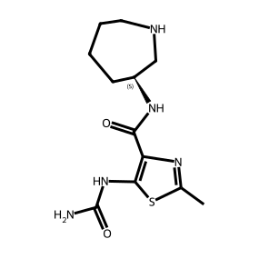 Cc1nc(C(=O)N[C@H]2CCCCNC2)c(NC(N)=O)s1